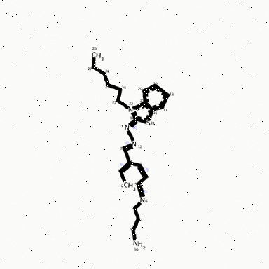 C/C=C(\C=C/C=N/CCCN)/C=N/N=c1\sc2ccccc2n1CCCCCC